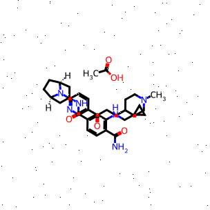 CC(=O)O.CN1CCC(CCC(=O)c2ccc(N3[C@@H]4CC[C@H]3C[C@@H](NC(=O)c3ccc(C(N)=O)c(NCC5CC5)c3)C4)nc2)CC1